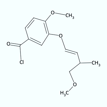 COCC(C)C=COc1cc(C(=O)Cl)ccc1OC